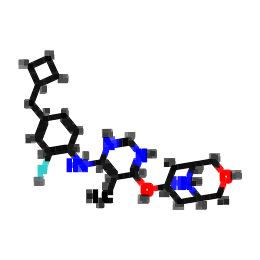 Cc1c(Nc2ccc(CC3CCC3)cc2F)ncnc1OC1CC2COCC(C1)N2